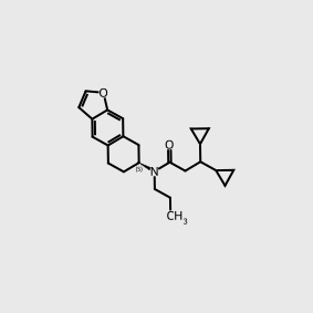 CCCN(C(=O)CC(C1CC1)C1CC1)[C@H]1CCc2cc3ccoc3cc2C1